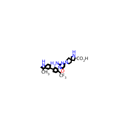 Cc1c[nH]c2ccc(-c3ccc([C@@H](Oc4cc(N5CCC6(CC5)CN[C@H](C(=O)O)C6)nc(N)n4)C(F)(F)F)cc3)cc12